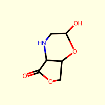 O=C1OCC2OC(O)CNC12